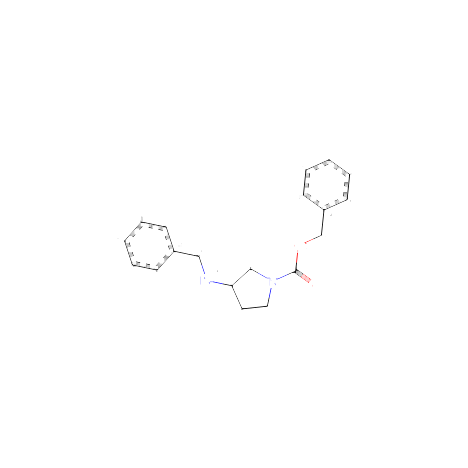 O=C(OCc1ccccc1)N1CCC(NCc2ccccc2)C1